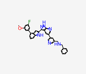 COc1cc(F)cc(-c2cccc3[nH]c(-c4n[nH]c5ncc(-c6cncc(CNCc7ccccc7)c6)cc45)cc23)c1